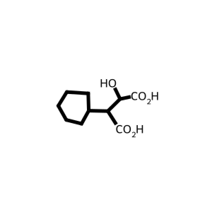 O=C(O)C(O)C(C(=O)O)C1CCCCC1